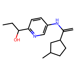 C=C(Nc1ccc(C(O)CC)nc1)C1CCC(C)C1